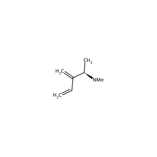 C=CC(=C)[C@@H](C)NC